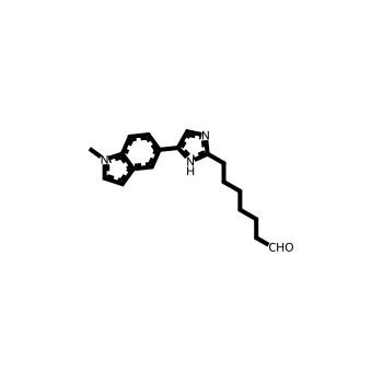 Cn1ccc2cc(-c3cnc(CCCCCCC=O)[nH]3)ccc21